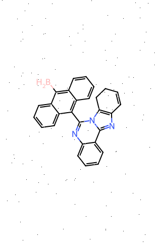 Bc1c2ccccc2c(-c2nc3ccccc3c3nc4c(n23)CCC=C4)c2ccccc12